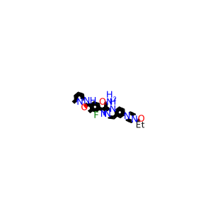 CCC(=O)N1CCN(c2ccc3c(c2)CCn2nc(-c4ccc(C(=O)Nc5cccc(C)n5)c(C)c4F)c(C(N)=O)c2N3)CC1